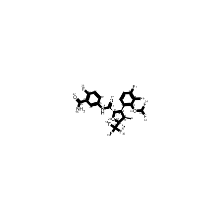 C[C@@H]1[C@H](c2ccc(F)c(F)c2OC(F)F)[C@@H](C(=O)Nc2ccc(F)c(C(N)=O)c2)O[C@]1(C)C(F)(F)F